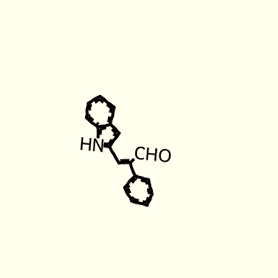 O=C/C(=C\c1cc2ccccc2[nH]1)c1ccccc1